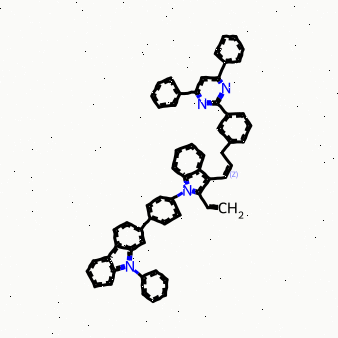 C=Cc1c(/C=C\Cc2cccc(-c3nc(-c4ccccc4)cc(-c4ccccc4)n3)c2)c2ccccc2n1-c1ccc(-c2ccc3c4ccccc4n(-c4ccccc4)c3c2)cc1